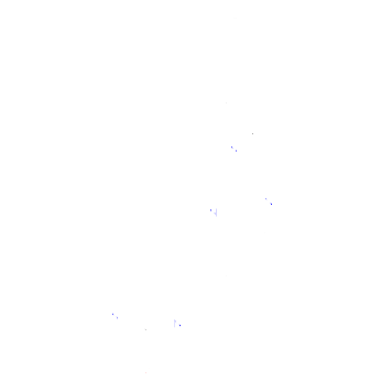 CC[C@](CO)(Nc1nc2c(Cn3ccoc3=N)cccc2[nH]1)c1cccc(C(F)(F)F)c1